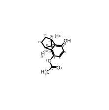 CC(=O)Oc1ccc(O)c2c1[C@H]1CC[C@@H]2C1